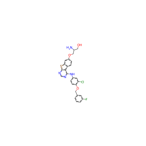 NC(CO)COc1ccc2c(c1)sc1ncnc(Nc3ccc(OCc4cccc(F)c4)c(Cl)c3)c12